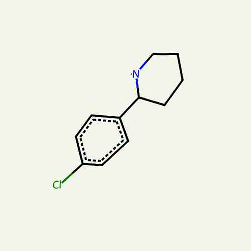 Clc1ccc(C2CCCC[N]2)cc1